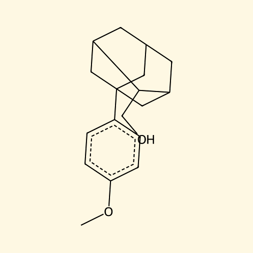 COc1ccc(C23CC4CC(C2)C(CO)C(C4)C3)cc1